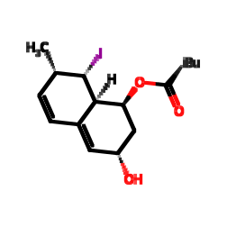 CC[C@H](C)C(=O)O[C@H]1C[C@H](O)C=C2C=C[C@H](C)[C@H](I)[C@H]21